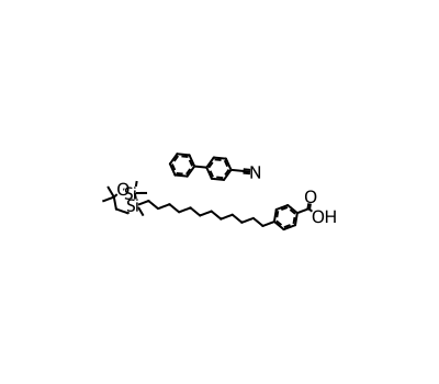 CC1(C)CC[Si](C)(CCCCCCCCCCCCc2ccc(C(=O)O)cc2)[Si](C)(C)O1.N#Cc1ccc(-c2ccccc2)cc1